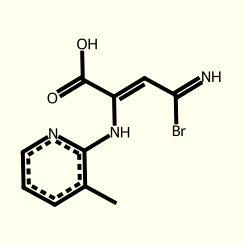 Cc1cccnc1N/C(=C\C(=N)Br)C(=O)O